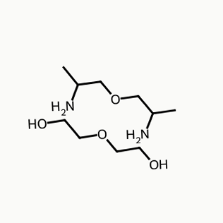 CC(N)COCC(C)N.OCCOCCO